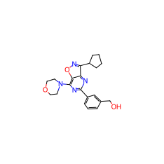 OCc1cccc(-c2nc(N3CCOCC3)c3onc(C4CCCC4)c3n2)c1